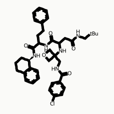 CC(C)(C)CNC(=O)CC(NC1(CNC(=O)c2ccc(Cl)cc2)COC1)C(=O)NC(CCc1ccccc1)C(=O)N[C@@H]1CCCc2ccccc21